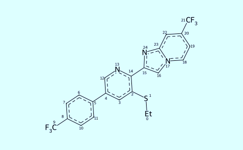 CCSc1cc(-c2ccc(C(F)(F)F)cc2)cnc1-c1cn2ccc(C(F)(F)F)cc2n1